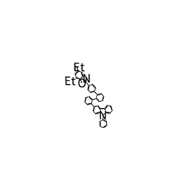 CCc1cc(CC)c2oc(-c3ccc(-c4ccccc4-c4ccccc4-c4ccc5c(c4)c4ccccc4n5-c4ccccc4)cc3)nc2c1